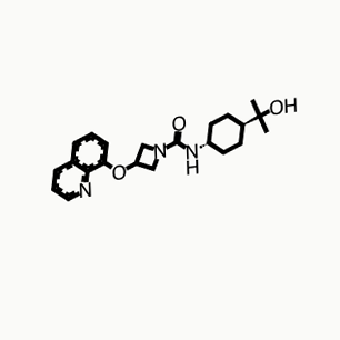 CC(C)(O)[C@H]1CC[C@H](NC(=O)N2CC(Oc3cccc4cccnc34)C2)CC1